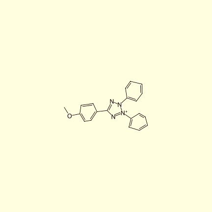 COc1ccc(-c2nn(-c3ccccc3)[n+](-c3ccccc3)n2)cc1